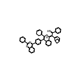 N=C(/C(C1=CC=C2CC1C2)=C1\NC(C2=CC=CCC2)=C(c2ccc(-c3nc(-c4ccccc4)nc4ccccc34)cc2)c2ccccc21)c1ccccc1